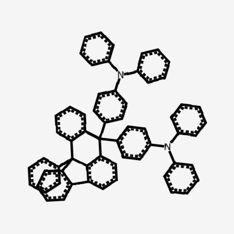 c1ccc(N(c2ccccc2)c2ccc(C3(c4ccc(N(c5ccccc5)c5ccccc5)cc4)c4ccccc4C4(c5ccccc5)c5ccccc5-c5cccc3c54)cc2)cc1